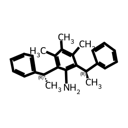 Cc1c(C)c([C@H](C)c2ccccc2)c(N)c([C@H](C)c2ccccc2)c1C